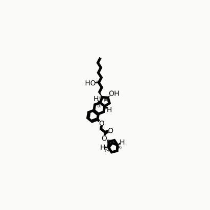 CCCCC[C@@H](O)CC[C@@H]1[C@H]2Cc3cccc(OCC(=O)O[C@@H]4C[C@@H]5CC[C@H]4C5)c3C[C@H]2C[C@H]1O